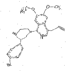 COc1cc2c(C#N)cnc(N3CCNC(c4ccc(Br)cc4)C3)c2cc1OC